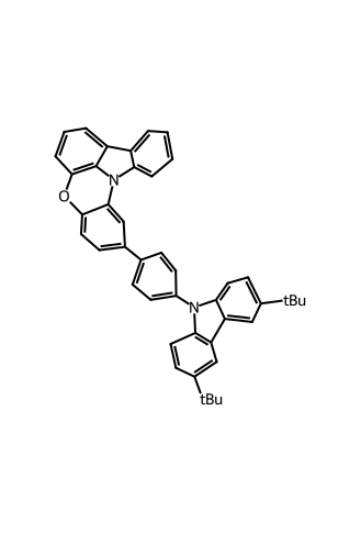 CC(C)(C)c1ccc2c(c1)c1cc(C(C)(C)C)ccc1n2-c1ccc(-c2ccc3c(c2)-n2c4ccccc4c4cccc(c42)O3)cc1